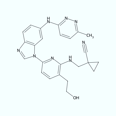 Cc1ccc(Nc2ccc3ncn(-c4ccc(CCO)c(NCC5(C#N)CC5)n4)c3c2)nn1